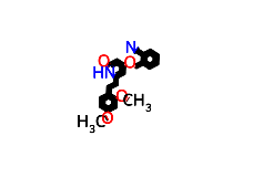 COc1ccc(CCc2cc(OCc3ccccc3C#N)cc(=O)[nH]2)c(OC)c1